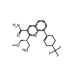 COC[C@H](CO)c1nc2c(C3=CCC(C(F)(F)F)CC3)cccc2cc1C(N)=O